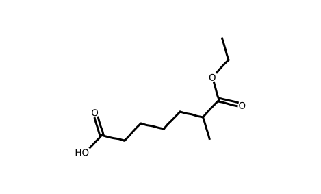 CCOC(=O)C(C)CCCCC(=O)O